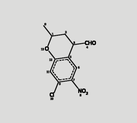 CC1CC(C=O)c2cc([N+](=O)[O-])c(Cl)cc2O1